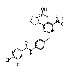 CN(C)c1nc(Cc2ccc(NC(=O)c3ccc(Cl)c(Cl)c3)cc2)nc(N2CCCC2)c1CC(=O)O